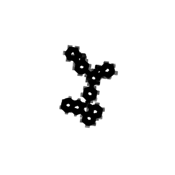 c1ccc2cc3c(cc2c1)-c1cccc2cccc(c12)N3c1ccc(-c2nc(-c3ccc4c(c3)oc3ccccc34)c3sc4ccccc4c3n2)cc1